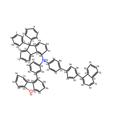 c1ccc(C2(c3ccccc3)c3ccccc3-c3c(N(c4ccc(-c5ccc(-c6cccc7ccccc67)cc5)cc4)c4cccc(-c5cccc6oc7ccccc7c56)c4)cccc32)cc1